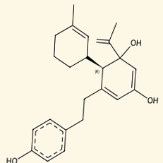 C=C(C)C1(O)C=C(O)C=C(CCc2ccc(O)cc2)[C@H]1C1C=C(C)CCC1